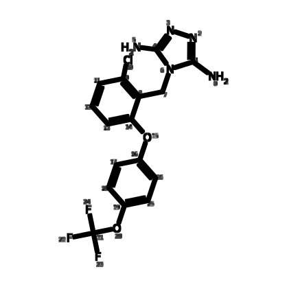 Nc1nnc(N)n1Cc1c(Cl)cccc1Oc1ccc(OC(F)(F)F)cc1